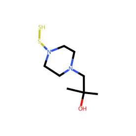 CC(C)(O)CN1CCN(SS)CC1